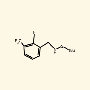 CC(C)(C)SNCc1cccc(C(F)(F)F)c1F